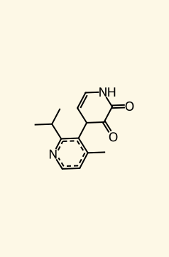 Cc1ccnc(C(C)C)c1C1C=CNC(=O)C1=O